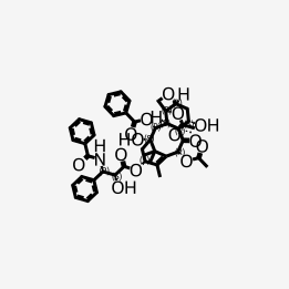 CC(=O)O[C@H]1C(=O)[C@]2(C)[C@@H](O)C[C@H]3OC[C@]3(OC(C)=O)[C@@H]2[C@@H](OC(=O)c2ccccc2)[C@]2(O)C[C@H](OC(=O)[C@@H](O)[C@H](NC(=O)c3ccccc3)c3ccccc3)C(C)=C1C2(C)C